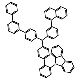 c1ccc(-c2cccc(-c3ccc(N(c4ccc(-c5ccccc5-n5c6ccccc6c6ccccc65)cc4)c4cccc(-c5cccc6ccccc56)c4)cc3)c2)cc1